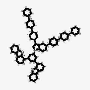 C1=CC(c2cn(-c3cc(-c4cccc5c4oc4ccccc45)cc(-c4cccc5c4oc4ccccc45)c3)c3ccc(-c4ccc(-c5ccc(-c6ccccc6)cc5)cc4)cc23)CC=C1c1ccc(-c2ccccc2)cc1